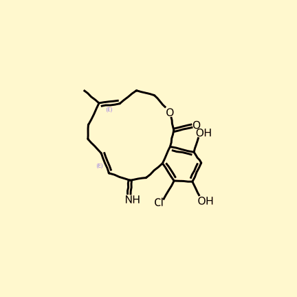 C/C1=C\CCOC(=O)c2c(O)cc(O)c(Cl)c2CC(=N)/C=C/CC1